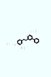 COc1ccc(CCc2cc(-c3ccccc3)cc(OC)c2O)cc1OC